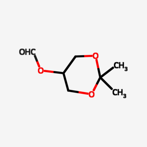 CC1(C)OCC(OC=O)CO1